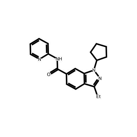 CCc1nn(C2CCCC2)c2cc(C(=O)Nc3ccccn3)ccc12